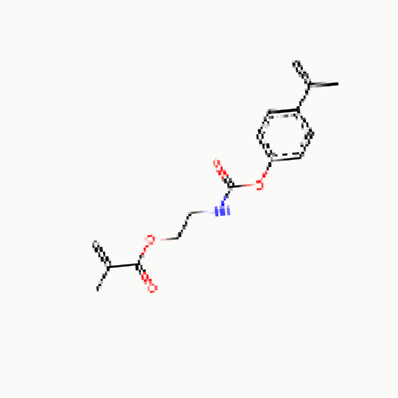 C=C(C)C(=O)OCCNC(=O)Oc1ccc(C(=C)C)cc1